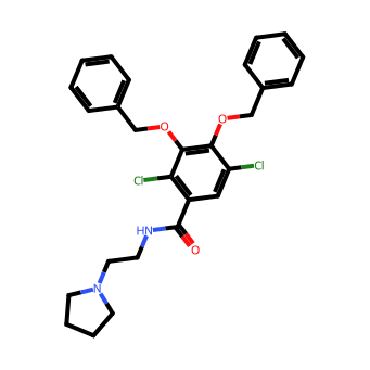 O=C(NCCN1CCCC1)c1cc(Cl)c(OCc2ccccc2)c(OCc2ccccc2)c1Cl